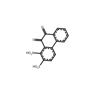 O=C1C(=O)c2c(ccc(S(=O)(=O)O)c2S(=O)(=O)O)-c2ccccc21